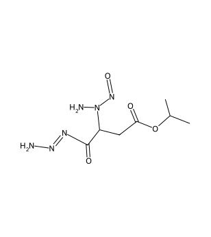 CC(C)OC(=O)CC(C(=O)N=NN)N(N)N=O